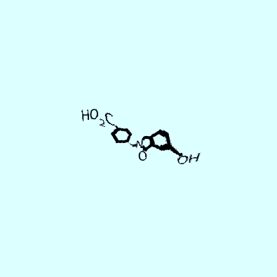 O=C1c2cc(CO)ccc2CN1C[C@H]1CC[C@H](C(=O)O)CC1